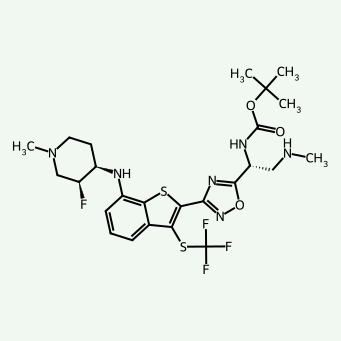 CNC[C@@H](NC(=O)OC(C)(C)C)c1nc(-c2sc3c(N[C@@H]4CCN(C)C[C@@H]4F)cccc3c2SC(F)(F)F)no1